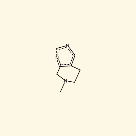 CN1CCc2cncnc2C1